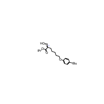 CC(C)OC(=O)/C(CCCCCOc1ccc(C(C)(C)C)cc1)=N\O